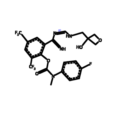 CN(C(=O)Oc1c(C(=N)/N=C\NCC2(O)COC2)cc(C(F)(F)F)cc1C(F)(F)F)c1ccc(F)cc1